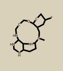 CN1CC2CC(F)CCC2OCCCNC2NCNC3CCC1NC32